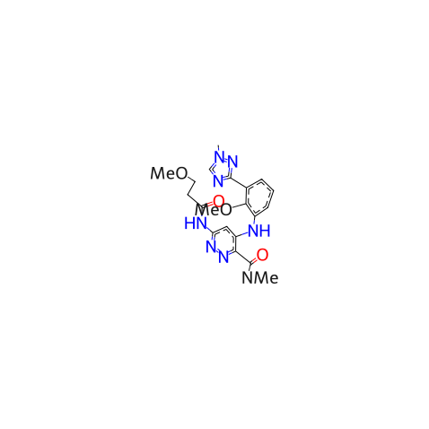 CNC(=O)c1nnc(NC(=O)CCOC)cc1Nc1cccc(-c2ncn(C)n2)c1OC